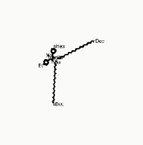 CCCCCCCCCCCCCCCCCCCCCCCCCCCC[CH2][Ni][CH2]CCCCCCCCCCCCCCCCCCCCCCCCCCCC.CCCCCCc1ccc(C2=C(CCCC)C(CCCC)=C(c3ccc(CC)cc3)[N+]2=[N-])cc1